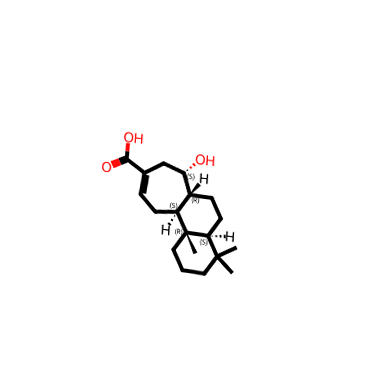 CC1(C)CCC[C@]2(C)[C@H]3CC=C(C(=O)O)C[C@H](O)[C@@H]3CC[C@@H]12